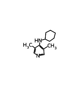 Cc1cncc(C)c1NC1CCCCC1